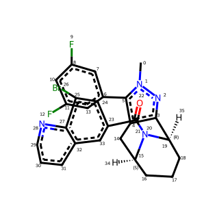 Cn1nc2c(c1-c1cc(F)cc(F)c1)C[C@@H]1CCC[C@H]2N1C(=O)c1cc(Br)c2ncccc2c1